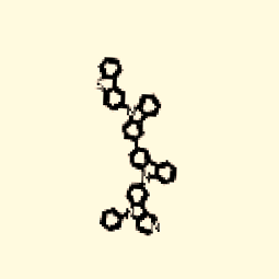 c1ccc(-n2c3ccncc3c3cc(-n4c5ccccc5c5cc(-c6ccc7c(c6)c6ccccc6n7-c6ccc7sc8ccccc8c7c6)ccc54)ccc32)cc1